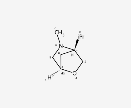 CC(C)[C@]12CO[C@@H](CN1C)C2